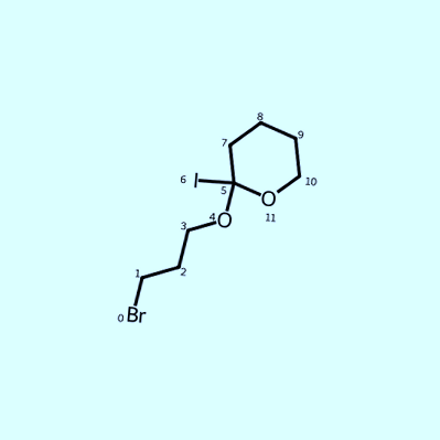 BrCCCOC1(I)CCCCO1